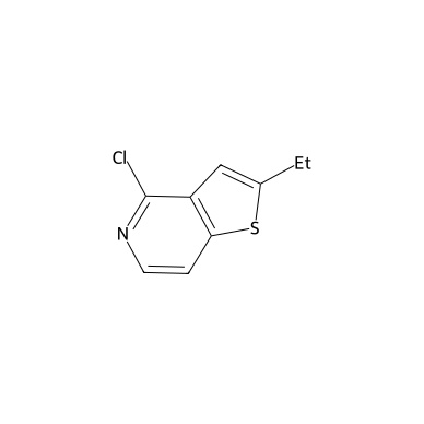 CCc1cc2c(Cl)nccc2s1